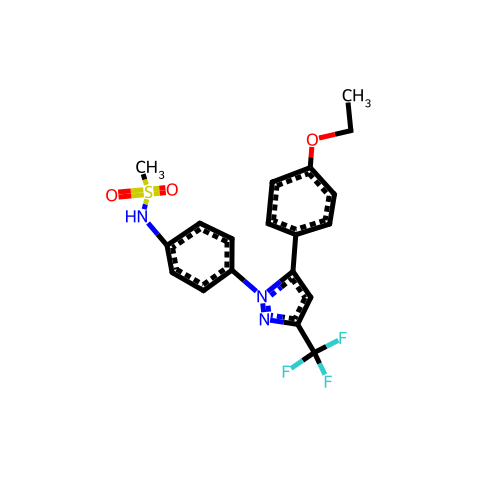 CCOc1ccc(-c2cc(C(F)(F)F)nn2-c2ccc(NS(C)(=O)=O)cc2)cc1